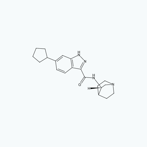 O=C(N[C@@H]1CN2CCC1CC2)c1n[nH]c2cc(C3CCCC3)ccc12